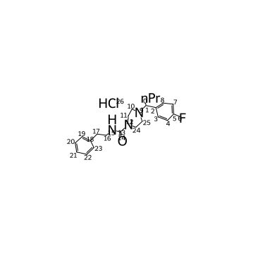 CCCC(c1ccc(F)cc1)N1CCN(C(=O)NCCc2ccccc2)CC1.Cl